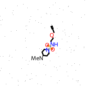 C#CCOCCNS(=O)(=O)N1CCC(NC)CC1